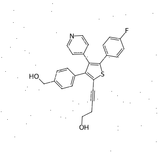 OCCC#Cc1sc(-c2ccc(F)cc2)c(-c2ccncc2)c1-c1ccc(CO)cc1